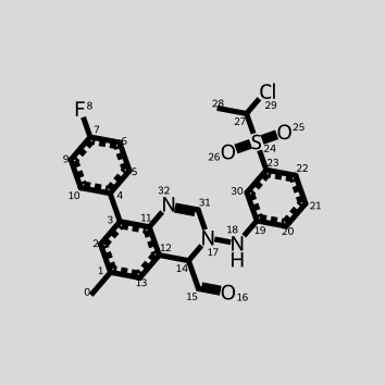 Cc1cc(-c2ccc(F)cc2)c2c(c1)C(C=O)N(Nc1cccc(S(=O)(=O)C(C)Cl)c1)C=N2